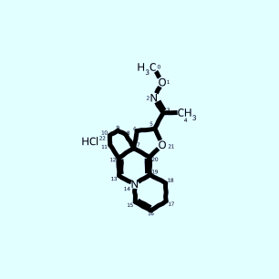 CON=C(C)C1CC23CCCCC2=CN2C=CCCC2=C3O1.Cl